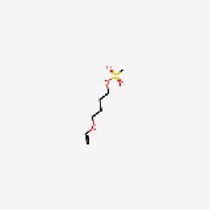 C=COCCCCOS(C)(=O)=O